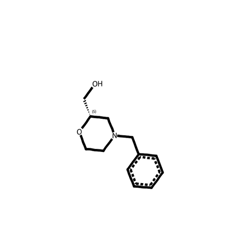 OC[C@@H]1CN(Cc2ccccc2)CCO1